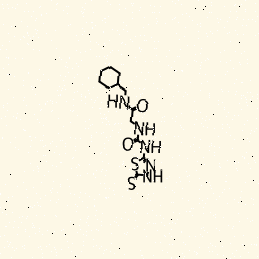 O=C(CNC(=O)Nc1n[nH]c(=S)s1)NCC1CCCCC1